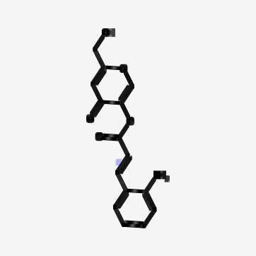 Nc1ccccc1/C=C/C(=O)Oc1coc(CO)cc1=O